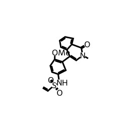 C=CS(=O)(=O)Nc1ccc(OC)c(-c2cn(C)c(=O)c3ccccc23)c1